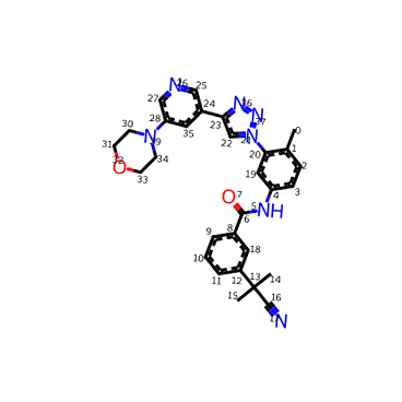 Cc1ccc(NC(=O)c2cccc(C(C)(C)C#N)c2)cc1-n1cc(-c2cncc(N3CCOCC3)c2)nn1